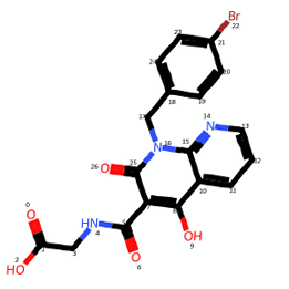 O=C(O)CNC(=O)c1c(O)c2cccnc2n(Cc2ccc(Br)cc2)c1=O